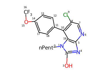 CCCCCn1c(O)nc2ncc(Cl)c(-c3ccc(OC(F)(F)F)cc3)c21